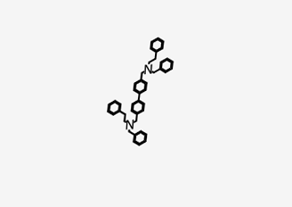 c1ccc(CCN(Cc2ccccc2)Cc2ccc(-c3ccc(CN(CCc4ccccc4)Cc4ccccc4)cc3)cc2)cc1